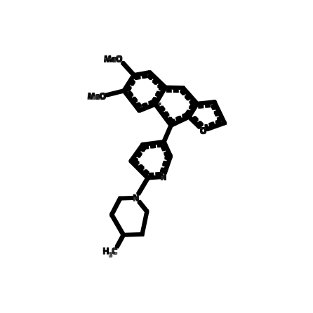 COc1cc2cc3ccoc3c(-c3ccc(N4CCC(C)CC4)nc3)c2cc1OC